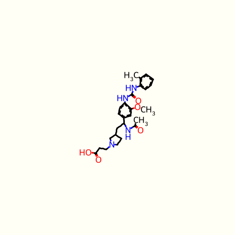 COc1cc(C(CC2CCN(CCC(=O)O)C2)NC(C)=O)ccc1NC(=O)Nc1ccccc1C